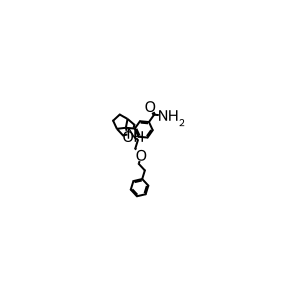 NC(=O)c1cccc(C2(O)C3CCC2CN(CCOCCc2ccccc2)C3)c1